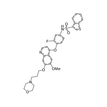 COc1cc2c(Oc3ccc(NS(=O)(=O)c4csc5ccccc45)cc3F)ccnc2cc1OCCCN1CCOCC1